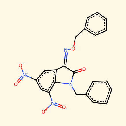 O=C1C(=NOCc2ccccc2)c2cc([N+](=O)[O-])cc([N+](=O)[O-])c2N1Cc1ccccc1